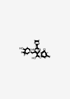 O=C(O)C1=C(CN2CCC(O)C(F)(F)C2)NC(c2nccs2)=N[C@@H]1c1ccc(F)cc1Cl